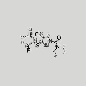 CCN(CC)C(=O)n1cc(Cl)c(Sc2cc(C)ccc2F)n1